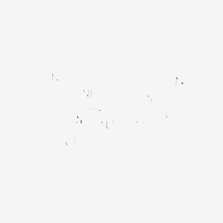 COc1nc(C)c(Nc2nc(Cl)cn([C@@H](COC(=O)Nc3cccnc3)C3CC3)c2=O)cc1C